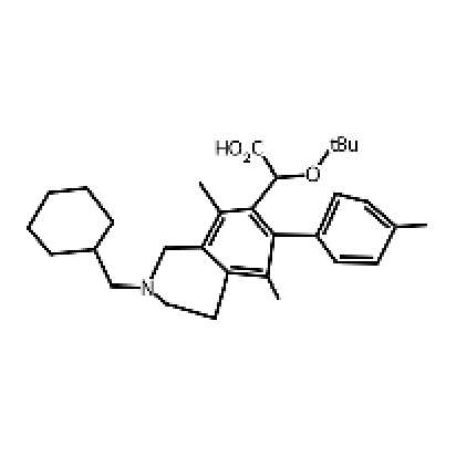 Cc1ccc(-c2c(C)c3c(c(C)c2C(OC(C)(C)C)C(=O)O)CN(CC2CCCCC2)CC3)cc1